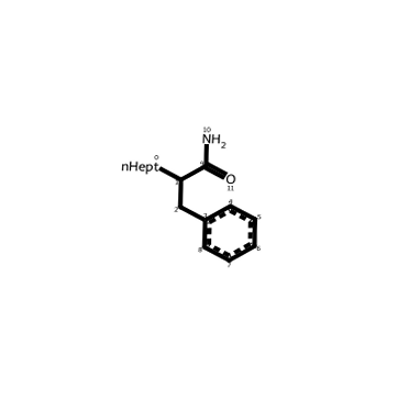 CCCCCCCC(Cc1ccccc1)C(N)=O